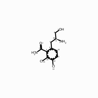 NC(=O)c1c(C[C@H](N)CO)ccc(Cl)c1Cl